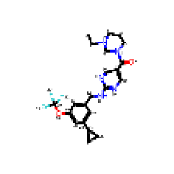 CCN1CCCN(C(=O)c2cnc(NCc3cc(OC(F)(F)F)cc(C4CC4)c3)nc2)C1